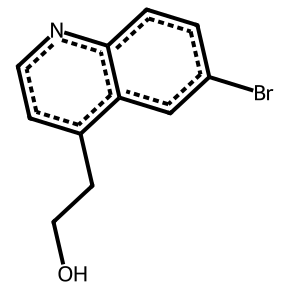 OCCc1ccnc2ccc(Br)cc12